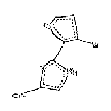 O=Cc1c[nH]c(-c2occc2Br)n1